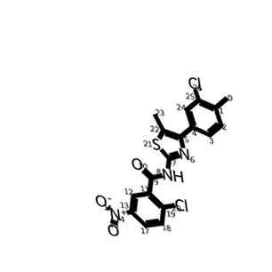 Cc1ccc(-c2nc(NC(=O)c3cc([N+](=O)[O-])ccc3Cl)sc2C)cc1Cl